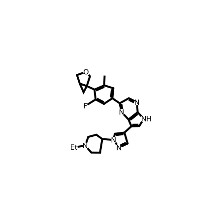 CCN1CCC(n2cc(-c3c[nH]c4ncc(-c5cc(C)c(C67COCC6C7)c(F)c5)nc34)cn2)CC1